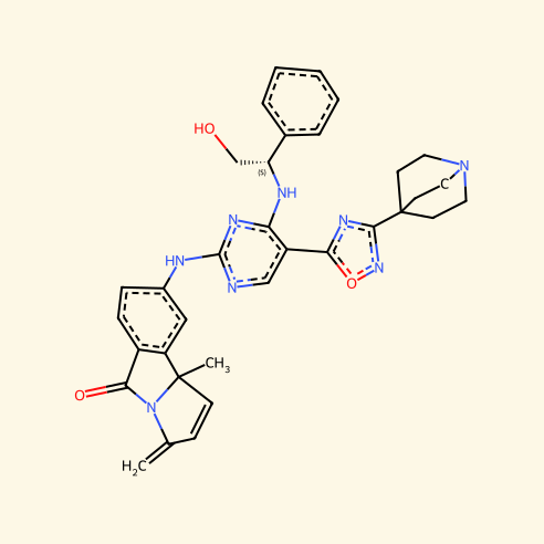 C=C1C=CC2(C)c3cc(Nc4ncc(-c5nc(C67CCN(CC6)CC7)no5)c(N[C@H](CO)c5ccccc5)n4)ccc3C(=O)N12